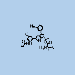 C=CC(=O)Nc1cc(OC)cc(-c2cnc3c(c2)c(-c2cccc(C#N)c2)cn3C(C)OC(=O)C(N)C(C)CC)c1